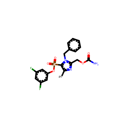 CC(C)c1nc(COC(N)=O)n(Cc2ccccc2)c1S(=O)(=O)Oc1cc(F)cc(F)c1